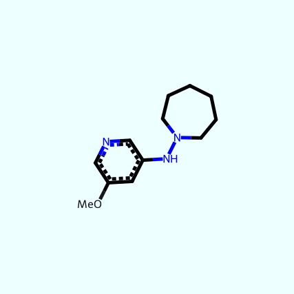 COc1cncc(NN2CCCCCC2)c1